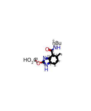 CCCCNC(=O)c1c(C)ccc2[nH]c(OC(=O)O)nc12